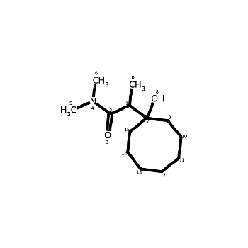 CC(C(=O)N(C)C)C1(O)CCCCCCC1